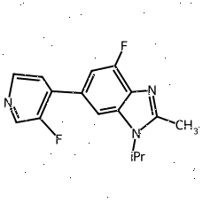 Cc1nc2c(F)cc(-c3ccncc3F)cc2n1C(C)C